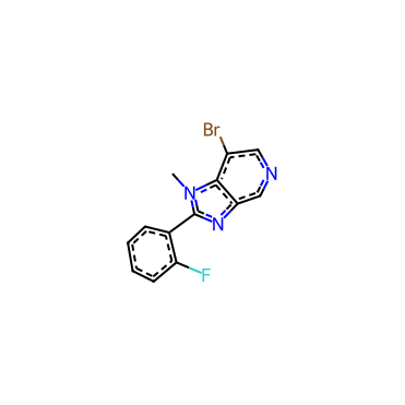 Cn1c(-c2ccccc2F)nc2cncc(Br)c21